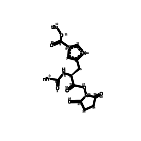 CCCC(=O)N[C@@H](Cc1cn(C(=O)OC(C)(C)C)cn1)C(=O)ON1C(=O)CCC1=O